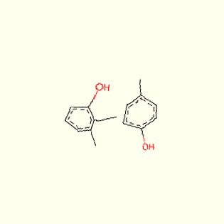 Cc1ccc(O)cc1.Cc1cccc(O)c1C